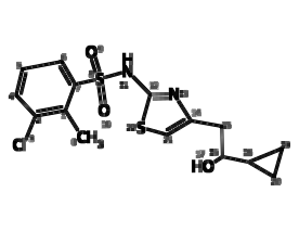 Cc1c(Cl)cccc1S(=O)(=O)Nc1nc(CC(O)C2CC2)cs1